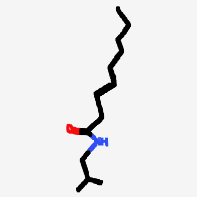 CCCCC/C=C/CC(=O)NCC(C)C